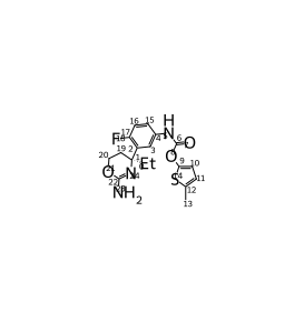 CC[C@@]1(c2cc(NC(=O)Oc3ccc(C)s3)ccc2F)CCOC(N)=N1